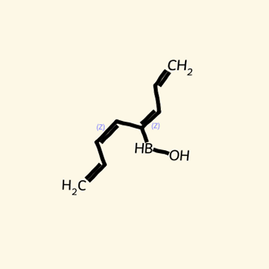 C=C/C=C\C(BO)=C/C=C